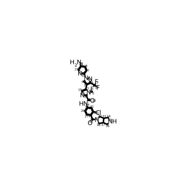 Cn1c(-c2cn(-c3ccc(N)cn3)nc2C(F)(F)F)cnc1C(=O)Nc1ccc(C(=O)N2CC3CNCC3C2)c(Cl)c1